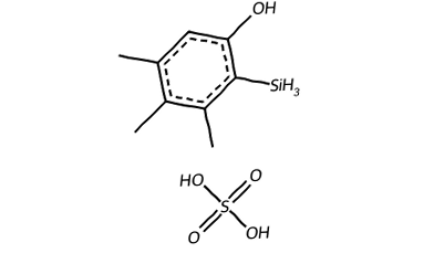 Cc1cc(O)c([SiH3])c(C)c1C.O=S(=O)(O)O